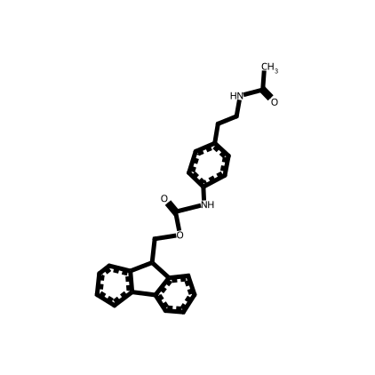 CC(=O)NCCc1ccc(NC(=O)OCC2c3ccccc3-c3ccccc32)cc1